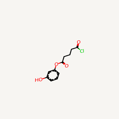 O=C(Cl)CCCC(=O)Oc1cccc(O)c1